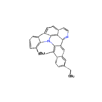 Cc1c2ccc(CC(C)(C)C)cc2cc2c3nccc4ccc5c6cccc(C(C)(C)C)c6n(c12)c5c43